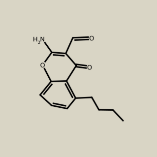 CCCCc1cccc2oc(N)c(C=O)c(=O)c12